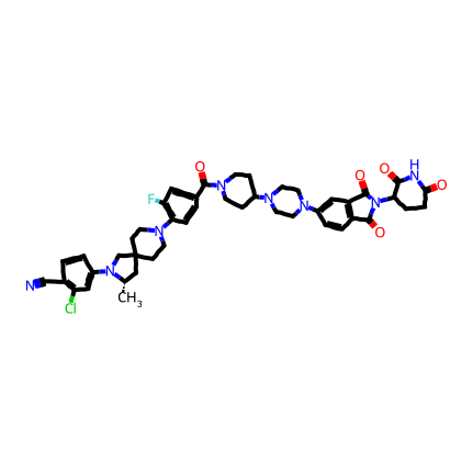 C[C@H]1CC2(CCN(c3ccc(C(=O)N4CCC(N5CCN(c6ccc7c(c6)C(=O)N(C6CCC(=O)NC6=O)C7=O)CC5)CC4)cc3F)CC2)CN1c1ccc(C#N)c(Cl)c1